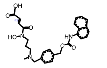 CN(CCCN(O)C(=O)/C=C/C(=O)O)Cc1ccc(COC(=O)Nc2cccc3ccccc23)cc1